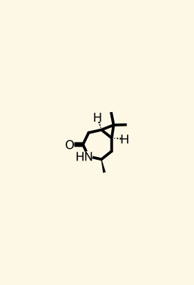 C[C@@H]1C[C@H]2[C@@H](CC(=O)N1)C2(C)C